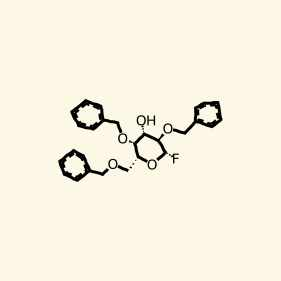 O[C@@H]1[C@@H](OCc2ccccc2)[C@H](F)O[C@H](COCc2ccccc2)[C@@H]1OCc1ccccc1